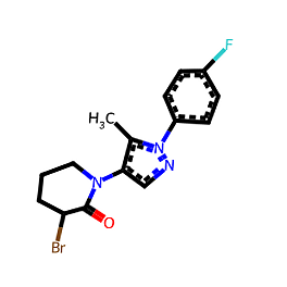 Cc1c(N2CCCC(Br)C2=O)cnn1-c1ccc(F)cc1